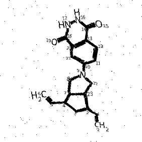 C=CC1CC(C=C)C2CN(c3ccc4c(=O)[nH][nH]c(=O)c4c3)CC12